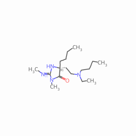 CCCCN(CC)CC[C@@]1(CCCC)N/C(=N\C)N(C)C1=O